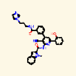 Cn1c(C(=O)Nc2nc(-c3ccccc3O)cc(-c3cccc(C(=O)NCCCn4ccnc4)c3)c2C#N)cc2ccccc21